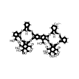 O=C(O)c1cccc2c1-c1nc-2nc2[nH]c(nc3nc(nc4[nH]c(n1)c1c(C(=O)O)c(C(=O)O)c(C(=O)O)c(C(=O)[O-])c41)-c1ccccc1-3)c1ccccc21.O=C(O)c1cccc2c1-c1nc-2nc2[nH]c(nc3nc(nc4[nH]c(n1)c1c(C(=O)O)c(C(=O)O)c(C(=O)O)c(C(=O)[O-])c41)-c1ccccc1-3)c1ccccc21.[Co+2]